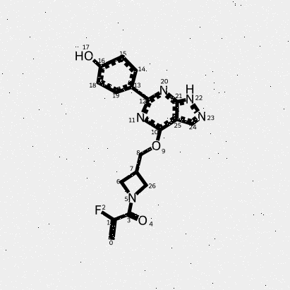 C=C(F)C(=O)N1CC(COc2nc(-c3ccc(O)cc3)nc3[nH]ncc23)C1